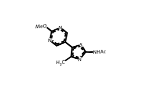 COc1ncc(-c2sc(NC(C)=O)nc2C)cn1